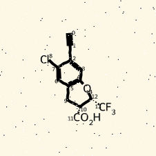 C#Cc1cc2c(cc1Cl)C[C@@H](C(=O)O)[C@@H](C(F)(F)F)O2